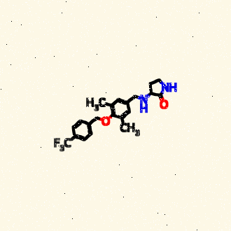 Cc1cc(CN[C@H]2CCNC2=O)cc(C)c1OCc1ccc(C(F)(F)F)cc1